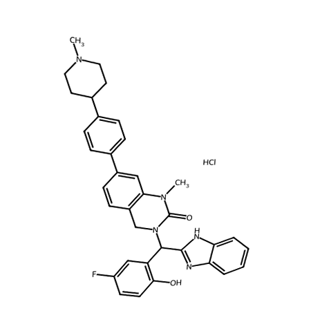 CN1CCC(c2ccc(-c3ccc4c(c3)N(C)C(=O)N(C(c3nc5ccccc5[nH]3)c3cc(F)ccc3O)C4)cc2)CC1.Cl